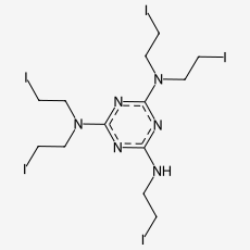 ICCNc1nc(N(CCI)CCI)nc(N(CCI)CCI)n1